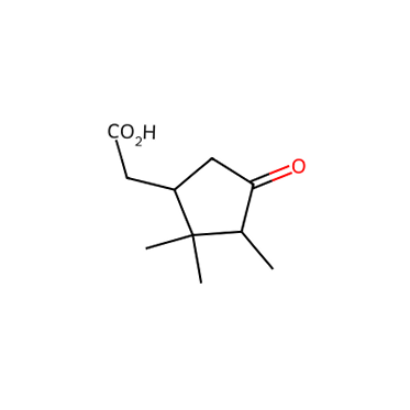 CC1C(=O)CC(CC(=O)O)C1(C)C